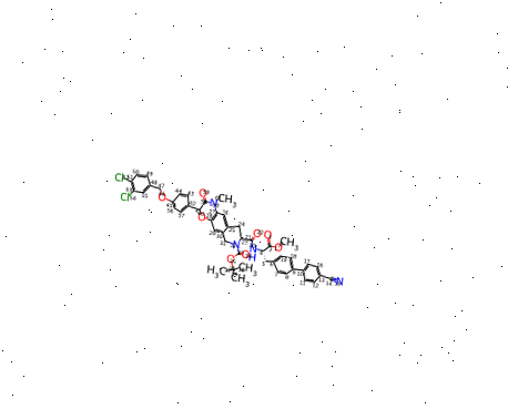 COC(=O)[C@H](Cc1ccc(-c2ccc(C#N)cc2)cc1)NC(=O)C1Cc2cc3c(cc2CN1C(=O)OC(C)(C)C)OC(c1ccc(OCc2ccc(Cl)c(Cl)c2)cc1)C(=O)N3C